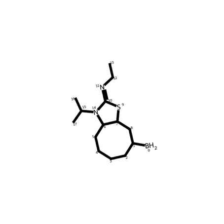 BC1CCCCC2C(C1)S/C(=N\CC)N2C(C)C